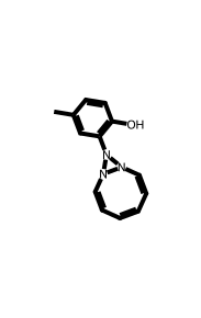 Cc1ccc(O)c(-n2n3ccccccn23)c1